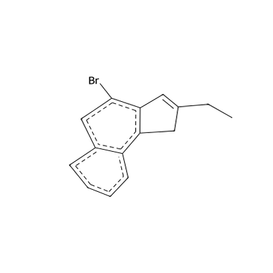 CCC1=Cc2c(Br)cc3ccccc3c2C1